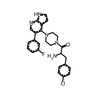 NC(Cc1ccc(Cl)cc1)C(=O)N1CCN(c2c(-c3cccc(F)c3)cnc3[nH]ccc23)CC1